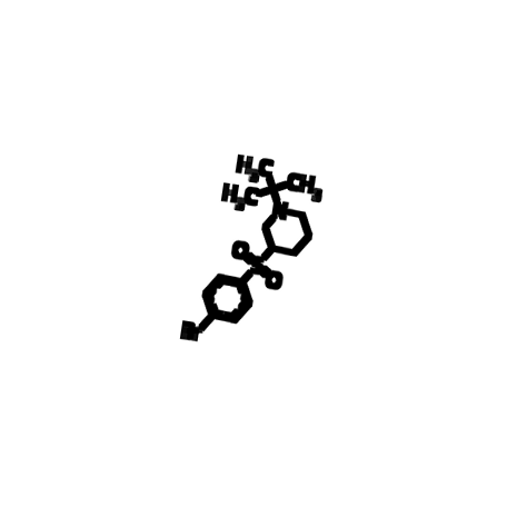 CC(C)(C)N1CCCC(S(=O)(=O)c2ccc(Br)cc2)C1